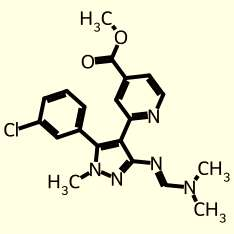 COC(=O)c1ccnc(-c2c(N=CN(C)C)nn(C)c2-c2cccc(Cl)c2)c1